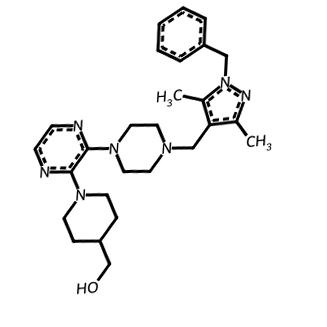 Cc1nn(Cc2ccccc2)c(C)c1CN1CCN(c2nccnc2N2CCC(CO)CC2)CC1